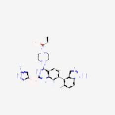 C=CC(=O)N1CCN(c2nc(Oc3cnn(C)c3)nc3c(F)c(-c4c(C)ccc5[nH]ncc45)c(Cl)cc23)CC1